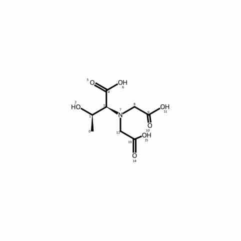 C[C@@H](O)[C@@H](C(=O)O)N(CC(=O)O)CC(=O)O